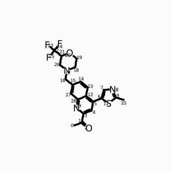 CC(=O)c1cc(-c2cnc(C)s2)c2ccc(CN3CCOC(C(F)(F)F)C3)cc2n1